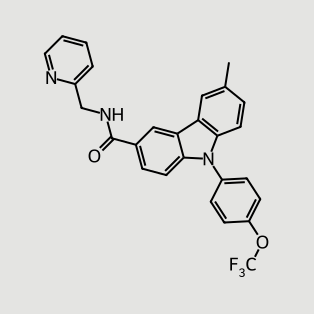 Cc1ccc2c(c1)c1cc(C(=O)NCc3ccccn3)ccc1n2-c1ccc(OC(F)(F)F)cc1